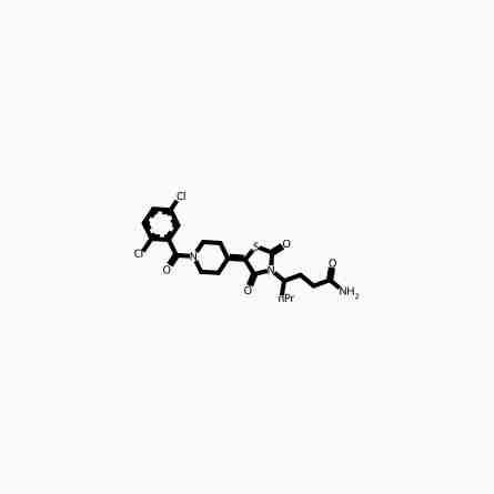 CCCC(CCC(N)=O)N1C(=O)SC(=C2CCN(C(=O)c3cc(Cl)ccc3Cl)CC2)C1=O